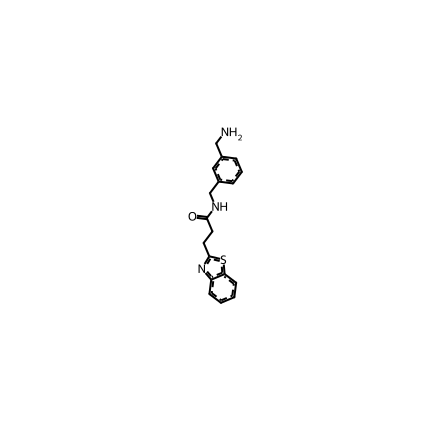 NCc1cccc(CNC(=O)CCc2nc3ccccc3s2)c1